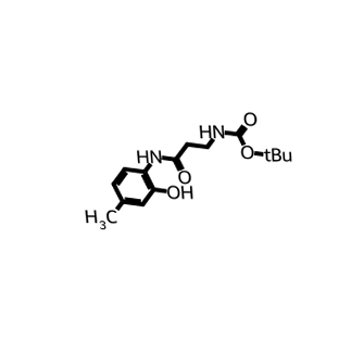 Cc1ccc(NC(=O)CCNC(=O)OC(C)(C)C)c(O)c1